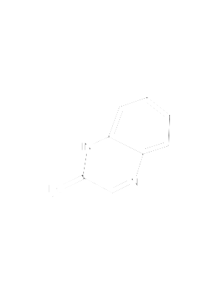 C=C1C=Nc2ccccc2N1